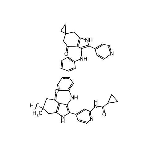 CC1(C)CC(=O)c2c([nH]c(-c3ccnc(NC(=O)C4CC4)c3)c2Nc2ccccc2)C1.O=C1CC2(CC2)Cc2[nH]c(-c3ccncc3)c(Nc3ccccc3)c21